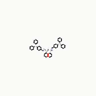 CCCCC(N(/N=C/c1ccc(N(c2ccccc2)c2ccccc2)cc1)c1ccccc1)N(/N=C/c1ccc(N(c2ccccc2)c2ccccc2)cc1)c1ccccc1